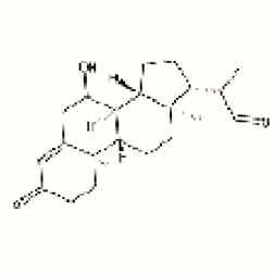 CC(C=O)[C@H]1CC[C@H]2[C@@H]3C(O)CC4=CC(=O)CC[C@]4(C)[C@H]3CC[C@]12C